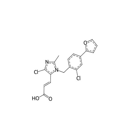 Cc1nc(Cl)c(C=CC(=O)O)n1Cc1ccc(-c2ccco2)cc1Cl